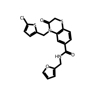 O=C(NCc1ccco1)c1ccc2c(c1)N(Cc1ccc(Cl)s1)C(=O)CS2